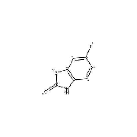 O=c1[nH]c2ccc(F)cc2s1